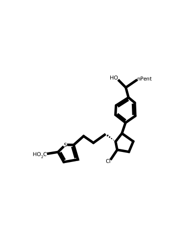 CCCCCC(O)c1ccc(C2CCC(Cl)[C@@H]2CCCc2ccc(C(=O)O)s2)cc1